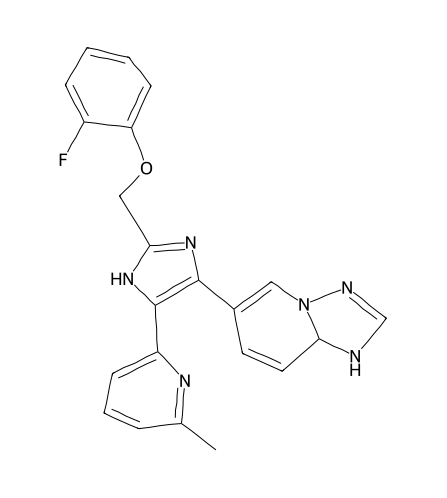 Cc1cccc(-c2[nH]c(COc3ccccc3F)nc2C2=CN3N=CNC3C=C2)n1